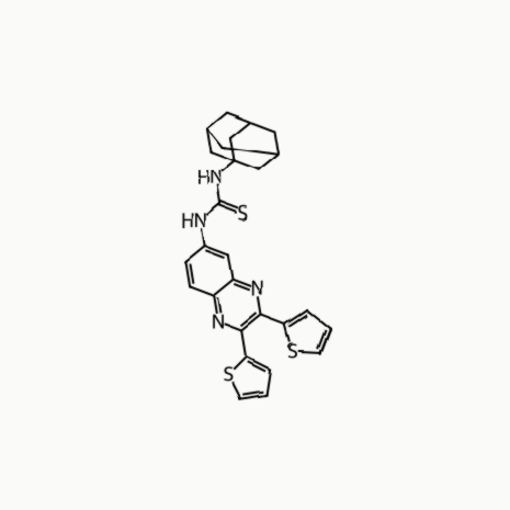 S=C(Nc1ccc2nc(-c3cccs3)c(-c3cccs3)nc2c1)NC12CC3CC(CC(C3)C1)C2